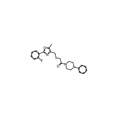 Cc1oc(-c2ccccc2F)nc1CSCC(=O)N1CCN(c2ccccc2)CC1